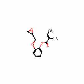 CC=C(C)C(=O)Oc1ccccc1OCC1CO1